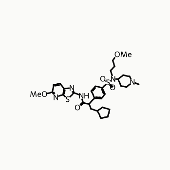 COCCCN(C1CCN(C)CC1)S(=O)(=O)c1ccc(C(CC2CCCC2)C(=O)Nc2nc3ccc(OC)nc3s2)cc1